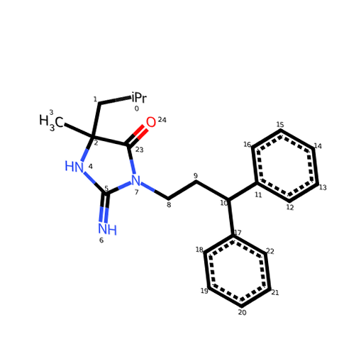 CC(C)CC1(C)NC(=N)N(CCC(c2ccccc2)c2ccccc2)C1=O